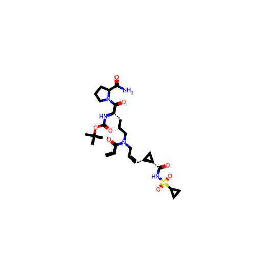 C=CC(=O)N(C/C=C\[C@@H]1C[C@@H]1C(=O)NS(=O)(=O)C1CC1)CCC[C@H](NC(=O)OC(C)(C)C)C(=O)N1CCCC1C(N)=O